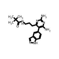 CC(C)(C)C(=O)NCCCc1nc(N)nc(N)c1-c1ccc2[nH]ncc2c1